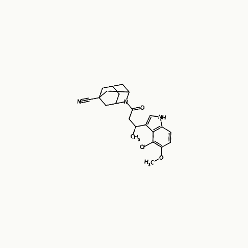 COc1ccc2[nH]cc(C(C)CC(=O)N3C4CC5CC3CC(C#N)(C5)C4)c2c1Cl